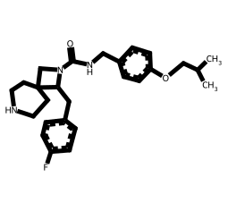 CC(C)COc1ccc(CNC(=O)N2CC3(CCNCC3)C2Cc2ccc(F)cc2)cc1